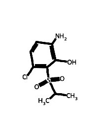 CC(C)S(=O)(=O)c1c(Cl)ccc(N)c1O